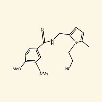 COc1ccc(C(=O)NCc2ccc(C)n2CCC#N)cc1OC